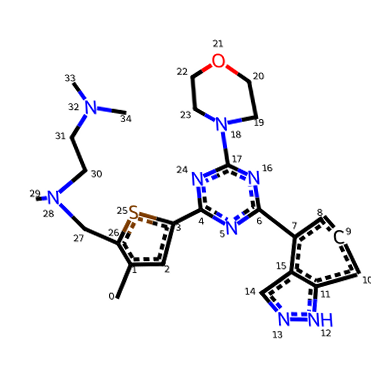 Cc1cc(-c2nc(-c3cccc4[nH]ncc34)nc(N3CCOCC3)n2)sc1CN(C)CCN(C)C